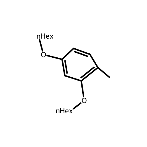 CCCCCCOc1ccc(C)c(OCCCCCC)c1